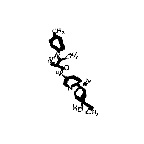 C=C[C@]1(O)CC[C@@](C#N)(c2ccc(NC(=O)c3cnn(-c4ccc(C)cc4)c3C)cn2)CC1